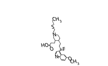 CCCSCCN1CCC(CC[C@H](F)c2ccnc3ccc(OC)cc23)C(CCC(=O)O)C1